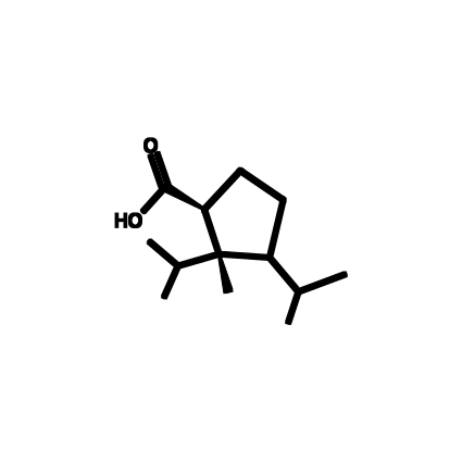 CC(C)C1CC[C@H](C(=O)O)[C@@]1(C)C(C)C